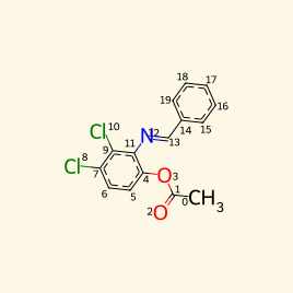 CC(=O)Oc1ccc(Cl)c(Cl)c1N=Cc1ccccc1